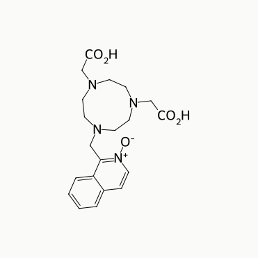 O=C(O)CN1CCN(CC(=O)O)CCN(Cc2c3ccccc3cc[n+]2[O-])CC1